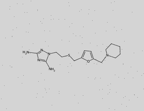 Nc1nc(N)n(CCSCc2ccc(CN3CCCCC3)o2)n1